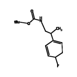 CC(CNC(=O)OC(C)(C)C)C1=CCC(F)C=C1